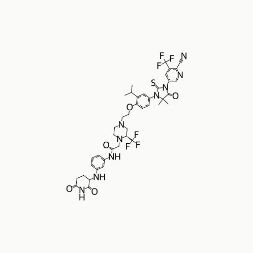 CC(C)c1cc(N2C(=S)N(c3cnc(C#N)c(C(F)(F)F)c3)C(=O)C2(C)C)ccc1OCCN1CCN(CC(=O)Nc2cccc(NC3CCC(=O)NC3=O)c2)[C@H](C(F)(F)F)C1